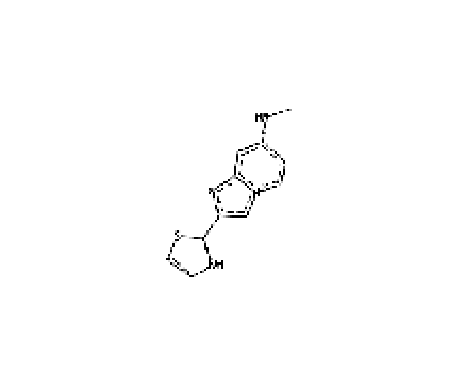 CNc1ccn2cc(C3NC=CS3)nc2c1